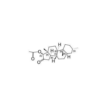 CC(=O)O[C@@H]1C(=O)C[C@@H]2[C@H]3CC[C@@H]4C[C@@H](C)CC[C@@]4(C)[C@@H]3CC[C@@]12C